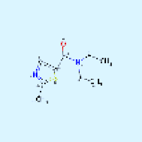 CCN(CC)C(=O)c1cnc(C)s1